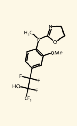 COc1cc(C(F)(F)C(O)(F)C(F)(F)F)ccc1N(C)C1=NCCO1